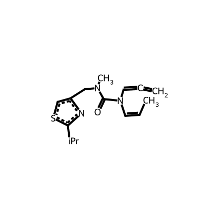 C=C=CN(/C=C\C)C(=O)N(C)Cc1csc(C(C)C)n1